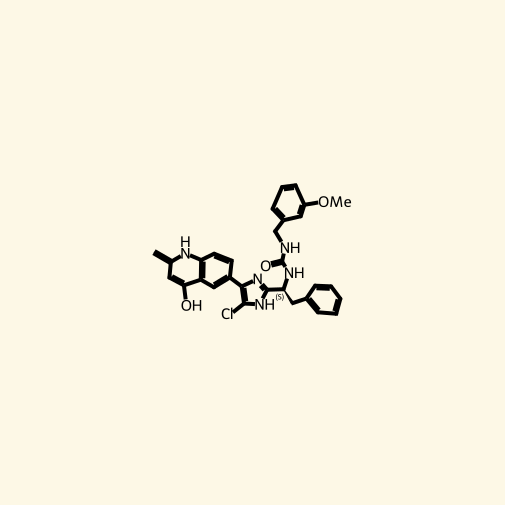 C=C1C=C(O)c2cc(-c3nc([C@H](Cc4ccccc4)NC(=O)NCc4cccc(OC)c4)[nH]c3Cl)ccc2N1